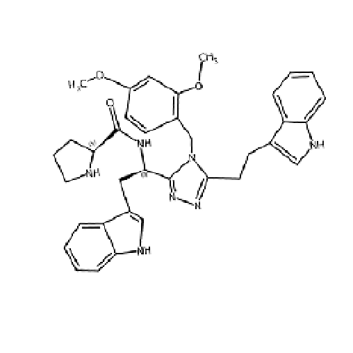 COc1ccc(Cn2c(CCc3c[nH]c4ccccc34)nnc2[C@@H](Cc2c[nH]c3ccccc23)NC(=O)[C@@H]2CCCN2)c(OC)c1